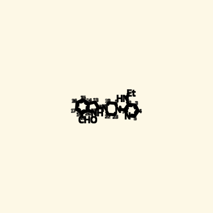 CCNc1cccnc1N1CCN(C2Cc3cccc(C=O)c3N2)CC1